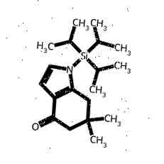 CC(C)[Si](C(C)C)(C(C)C)n1ccc2c1CC(C)(C)CC2=O